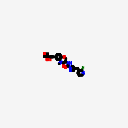 CN1C(=O)[C@H](NC(=O)n2cc(Cc3cccnc3F)cn2)COc2ccc(C#CC3(O)COC3)cc21